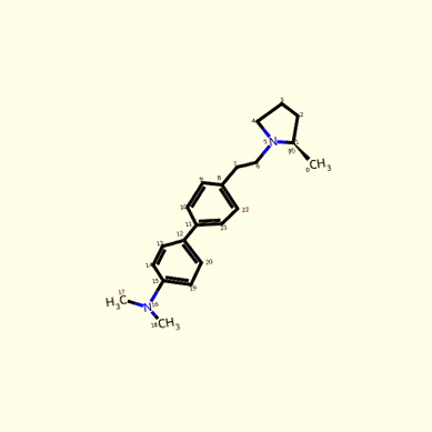 C[C@@H]1CCCN1CCc1ccc(-c2ccc(N(C)C)cc2)cc1